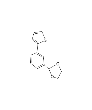 c1cc(-c2cccs2)cc(C2OCCO2)c1